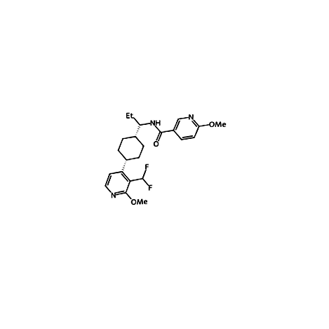 CCC(NC(=O)c1ccc(OC)nc1)[C@H]1CC[C@@H](c2ccnc(OC)c2C(F)F)CC1